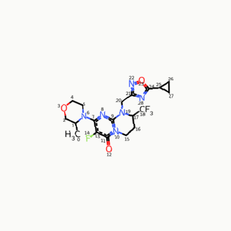 CC1COCCN1c1nc2n(c(=O)c1F)CCC(C(F)(F)F)N2Cc1noc(C2CC2)n1